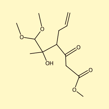 C=CCC(C(=O)CC(=O)OC)C(C)(O)C(OC)OC